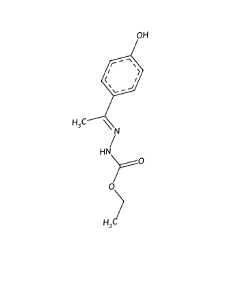 CCOC(=O)NN=C(C)c1ccc(O)cc1